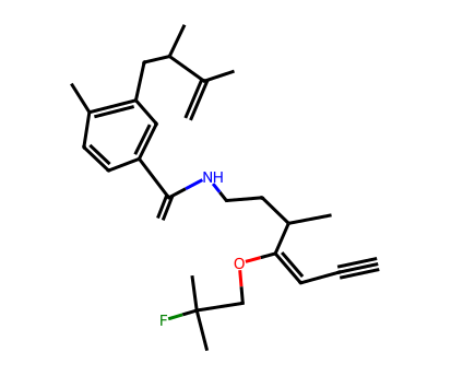 C#C/C=C(/OCC(C)(C)F)C(C)CCNC(=C)c1ccc(C)c(CC(C)C(=C)C)c1